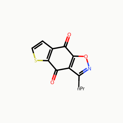 CCCc1noc2c1C(=O)c1sccc1C2=O